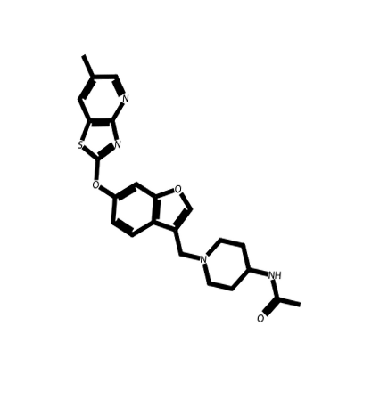 CC(=O)NC1CCN(Cc2coc3cc(Oc4nc5ncc(C)cc5s4)ccc23)CC1